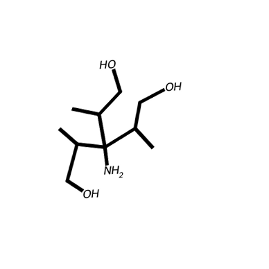 CC(CO)C(N)(C(C)CO)C(C)CO